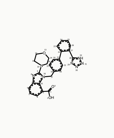 O=C(O)c1cccc2nc(N3CCOCC3)n(Cc3ccc(-c4ccccc4-c4nnn[nH]4)cc3)c12